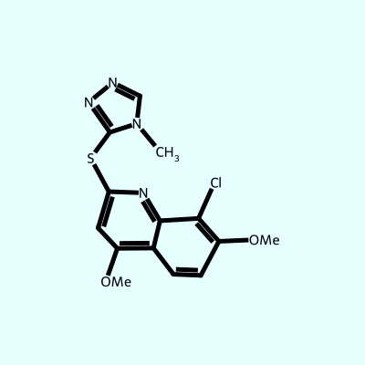 COc1ccc2c(OC)cc(Sc3nncn3C)nc2c1Cl